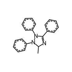 CC1N=C(c2ccccc2)N(c2ccccc2)N1c1ccccc1